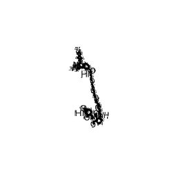 CN(C(=O)c1c(C=O)cccc1NCCOCCOCCOCCOCCNC(=O)c1ccc2c(c1)c1cn(C)nc1n2C1CC2(C1)CC(F)(F)C2)C1CCC(=O)NC1=O